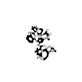 CC[C@@H](C)C(=O)N[C@H]1CCO[C@H]2CC(C)(C)C(C(=O)Nc3ccccc3SSc3ccccc3NC(=O)[C@@H]3N4C(=O)[C@@H](NC(=O)[C@H](C)NC)CCO[C@H]4CC3(C)C)N2C1=O